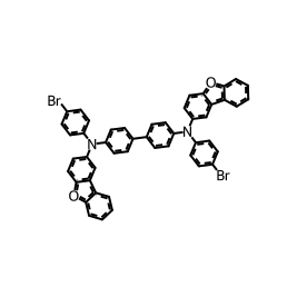 Brc1ccc(N(c2ccc(-c3ccc(N(c4ccc(Br)cc4)c4ccc5oc6ccccc6c5c4)cc3)cc2)c2ccc3oc4ccccc4c3c2)cc1